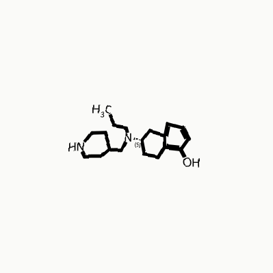 CCCN(CC1CCNCC1)[C@H]1CCc2c(O)cccc2C1